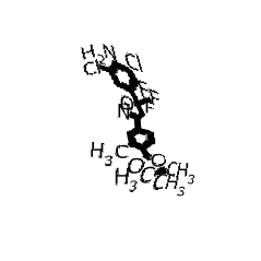 Cc1cc(C2=NOC(c3cc(Cl)c(N)c(Cl)c3)(C(F)(F)F)C2)ccc1C(=O)OC(C)(C)C